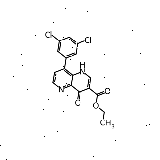 CCOC(=O)c1c[nH]c2c(-c3cc(Cl)cc(Cl)c3)ccnc2c1=O